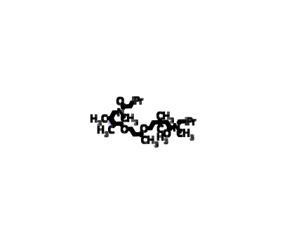 C/C(COCCC(C)OCCC(C)(C)CC(=O)N(C)CC(C)C)=C(\C)CN(C)C(=O)CC(C)C